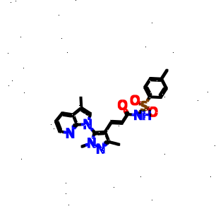 Cc1ccc(S(=O)(=O)NC(=O)C=Cc2c(C)nn(C)c2-n2cc(C)c3cccnc32)cc1